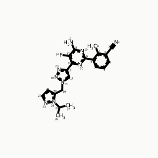 Cc1c(C#N)cccc1-c1nc(N)c(F)c(-c2cn(Cc3ccnn3C(C)C)nn2)n1